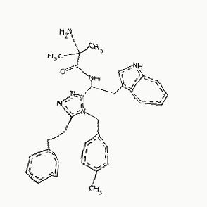 Cc1ccc(Cn2c(CCc3ccccc3)nnc2C(Cc2c[nH]c3ccccc23)NC(=O)C(C)(C)N)cc1